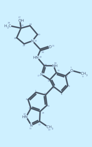 COc1ccc(-c2ccc3[nH]nc(C)c3c2)c2nc(NC(=O)N3CCC(C)(O)CC3)[nH]c12